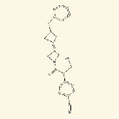 N#Cc1ccc(C(CO)C(=O)N2CC(=C3CN(Sc4ccccn4)C3)C2)cc1